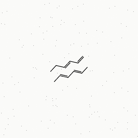 C=CC=CCC.CC=CC=CC